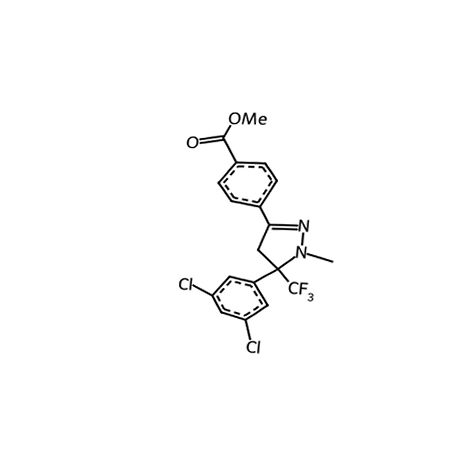 COC(=O)c1ccc(C2=NN(C)C(c3cc(Cl)cc(Cl)c3)(C(F)(F)F)C2)cc1